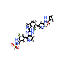 CS(=O)(=O)NCc1cc(F)cc(-c2nccc3[nH]c(C4=NCc5ccc(-c6cncc(NC(=O)C7CCC7)c6)c(F)c54)nc23)c1